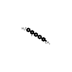 CCc1ccc(C2CCC(C3CC=C(c4ccc(C5CCC(C)CC5)cc4F)CC3)CC2)cc1